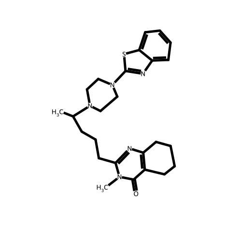 CC(CCCc1nc2c(c(=O)n1C)CCCC2)N1CCN(c2nc3ccccc3s2)CC1